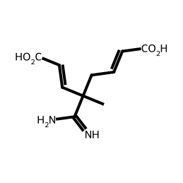 CC(C=CC(=O)O)(CC=CC(=O)O)C(=N)N